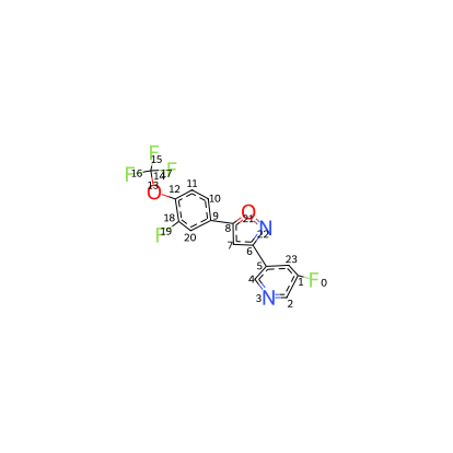 Fc1cncc(-c2cc(-c3ccc(OC(F)(F)F)c(F)c3)on2)c1